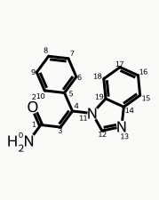 NC(=O)/C=C(\c1ccccc1)n1cnc2ccccc21